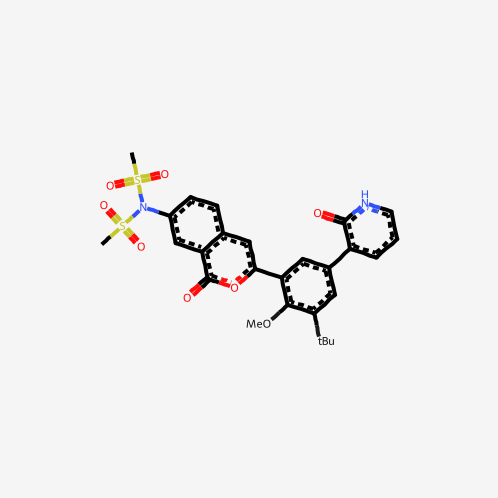 COc1c(-c2cc3ccc(N(S(C)(=O)=O)S(C)(=O)=O)cc3c(=O)o2)cc(-c2ccc[nH]c2=O)cc1C(C)(C)C